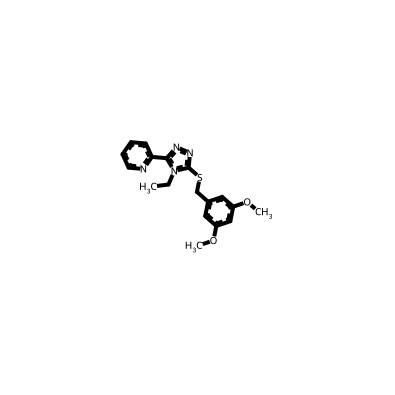 CCn1c(SCc2cc(OC)cc(OC)c2)nnc1-c1ccccn1